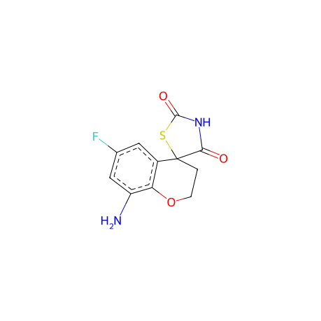 Nc1cc(F)cc2c1OCCC21SC(=O)NC1=O